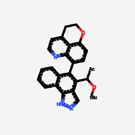 CC(=O)C(OC(C)(C)C)c1c(-c2ccc3c4c(ccnc24)CCO3)c2ccccc2c2[nH]ncc12